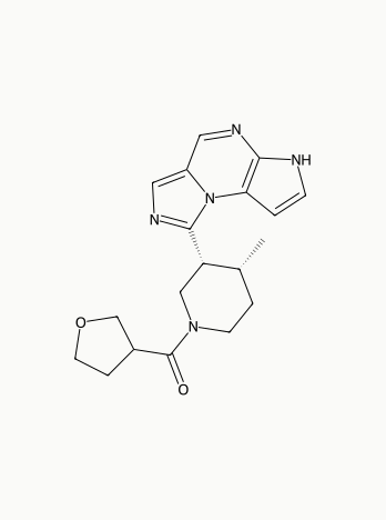 C[C@@H]1CCN(C(=O)C2CCOC2)C[C@@H]1c1ncc2cnc3[nH]ccc3n12